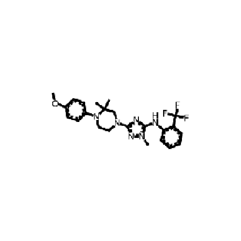 COc1ccc(N2CCN(c3nc(Nc4ccccc4C(F)(F)F)n(C)n3)CC2(C)C)cc1